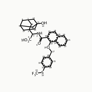 O=C(NC(C(=O)O)C12CC3CC(CC(O)(C3)C1)C2)c1ccc2ccccc2c1OCc1ccc(SC(F)(F)F)cc1